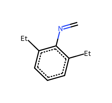 C=Nc1c(CC)cccc1CC